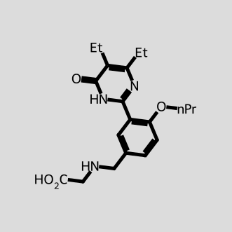 CCCOc1ccc(CNCC(=O)O)cc1-c1nc(CC)c(CC)c(=O)[nH]1